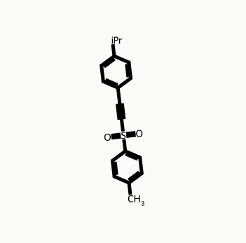 Cc1ccc(S(=O)(=O)C#Cc2ccc(C(C)C)cc2)cc1